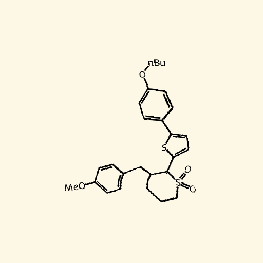 CCCCOc1ccc(-c2ccc([C]3C(Cc4ccc(OC)cc4)CCCS3(=O)=O)s2)cc1